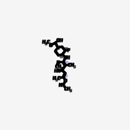 C=N/C(N[C@H]1CCN(C(O)OC)C[C@H]1F)=C(/C)C(=N)/C=C(\C)ONC